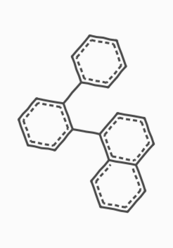 c1ccc(-c2ccccc2-c2cccc3ccccc23)cc1